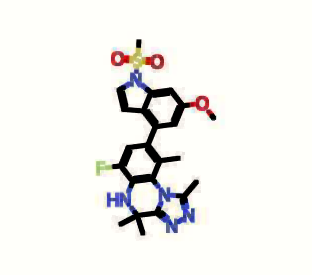 COc1cc(-c2cc(F)c3c(c2C)-n2c(C)nnc2C(C)(C)N3)c2ccn(S(C)(=O)=O)c2c1